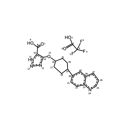 O=C(O)C(F)(F)F.O=C(O)c1[nH]nnc1OC1CCC(c2ccc3ncccc3c2)CC1